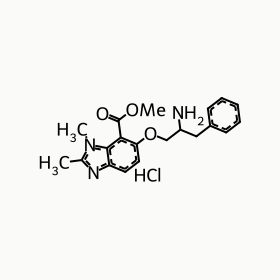 COC(=O)c1c(OCC(N)Cc2ccccc2)ccc2nc(C)n(C)c12.Cl